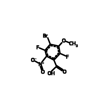 COc1c(F)c(C(=O)O)c([N+](=O)[O-])c(F)c1Br